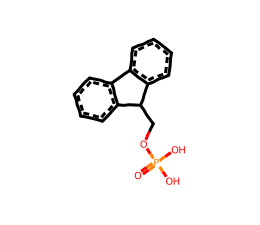 O=P(O)(O)OCC1c2ccccc2-c2ccccc21